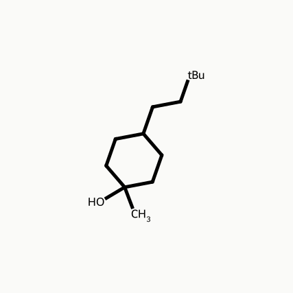 CC(C)(C)CCC1CCC(C)(O)CC1